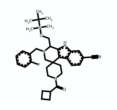 CC(C)(C)[Si](C)(C)OCC1c2[nH]c3cc(C#N)ccc3c2C2(CCN(C(=O)C3CCC3)CC2)CN1Cc1ccccc1F